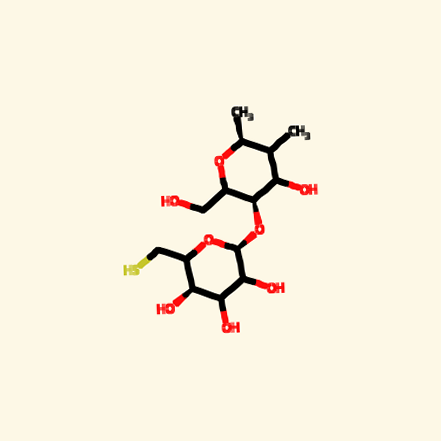 CC1C(O)[C@@H](O[C@@H]2OC(CS)[C@H](O)C(O)C2O)C(CO)O[C@H]1C